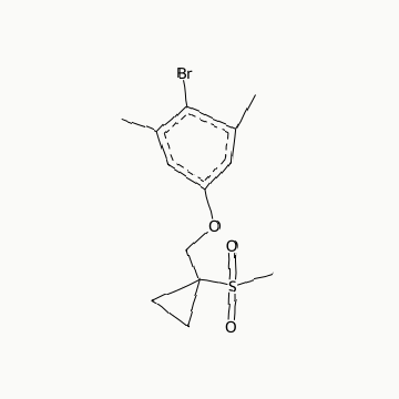 Cc1cc(OCC2(S(C)(=O)=O)CC2)cc(C)c1Br